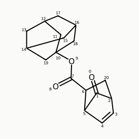 O=C1C2C=CC1C(C(=O)OC13CC4CC(CC(C4)C1)C3)C2